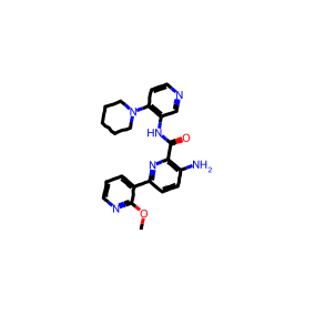 COc1ncccc1-c1ccc(N)c(C(=O)Nc2cnccc2N2CCCCC2)n1